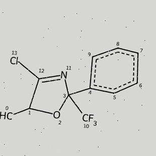 O=CC1OC(c2ccccc2)(C(F)(F)F)N=C1Cl